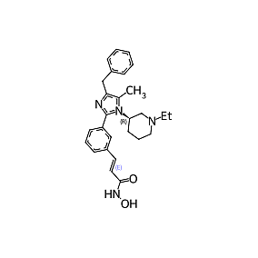 CCN1CCC[C@@H](n2c(-c3cccc(/C=C/C(=O)NO)c3)nc(Cc3ccccc3)c2C)C1